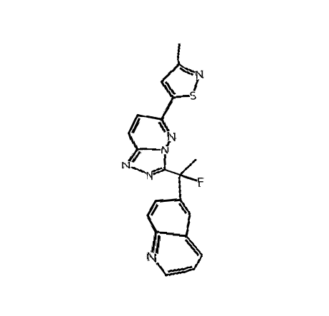 Cc1cc(-c2ccc3nnc(C(C)(F)c4ccc5ncccc5c4)n3n2)sn1